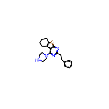 c1ccc(CCc2nc(N3CCNCC3)c3c4c(sc3n2)CCCC4)cc1